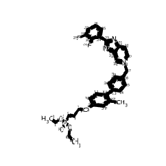 CCOP(=O)(CCCOc1ccc(-c2ccc(Cn3ccc4nc(-c5cccc(F)c5F)nc-4c3)cc2)c(C)c1)OCC